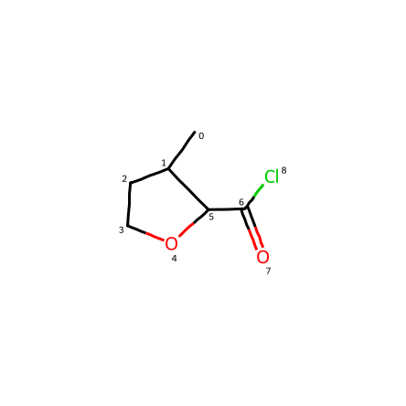 CC1CCOC1C(=O)Cl